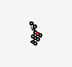 c1ccc(-c2cccc3c2ncn3-c2cccc(-c3cccc4c(-c5cccc6ccccc56)c5ccccc5c(-c5cccc6ccccc56)c34)c2)cc1